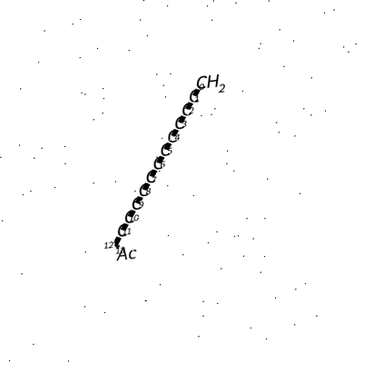 C=C=C=C=C=C=C=C=C=C=C=C=CC(C)=O